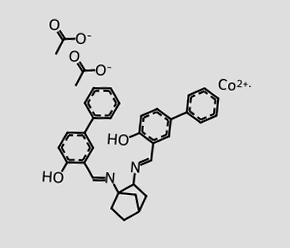 CC(=O)[O-].CC(=O)[O-].Oc1ccc(-c2ccccc2)cc1C=NC1CC2CCC1(N=Cc1cc(-c3ccccc3)ccc1O)C2.[Co+2]